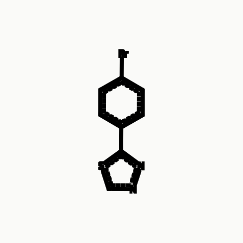 Brc1ccc(-c2nncs2)cc1